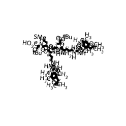 CSCC[C@H](NC(=O)[C@H](CCCNC(=N)NS(=O)(=O)c1c(C)c(C)c2c(c1C)CC(C)(C)O2)NC(=O)[C@H](CCC(=O)OC(C)(C)C)NC(=O)[C@@H](N)CCCNC(=N)NS(=O)(=O)c1c(C)c(C)c2c(c1C)CC(C)(C)O2)C(=O)N[C@@H](COC(C)(C)C)C(=O)O